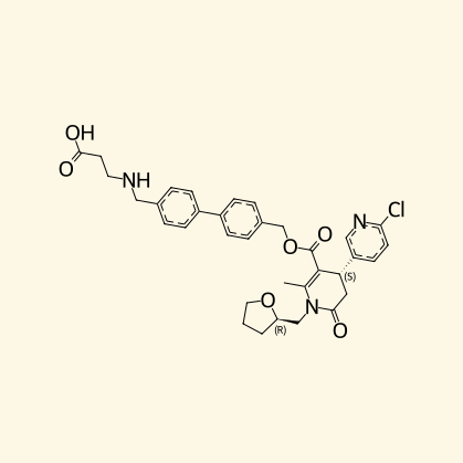 CC1=C(C(=O)OCc2ccc(-c3ccc(CNCCC(=O)O)cc3)cc2)[C@H](c2ccc(Cl)nc2)CC(=O)N1C[C@H]1CCCO1